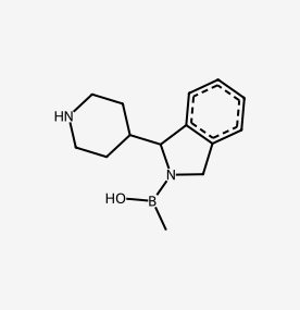 CB(O)N1Cc2ccccc2C1C1CCNCC1